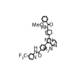 COc1ccccc1C(=O)NC12CCC(c3nc(-c4ccc(C(=O)Nc5cc(C(F)(F)F)ccn5)cc4)c4c(N)nccn34)(CC1)C2